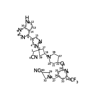 N#CCC1(n2cc(-c3ncnc4[nH]ccc34)cn2)CC(N2CCC(Oc3cc(CN4CC(C#N)C4)cc(C(F)(F)F)n3)CC2)C1